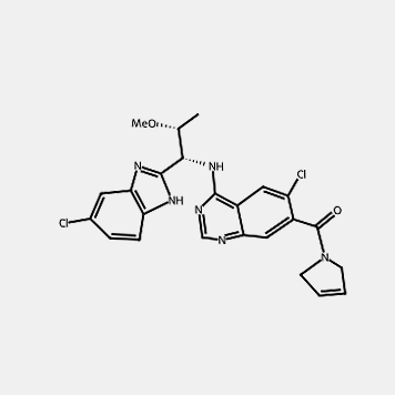 CO[C@H](C)[C@H](Nc1ncnc2cc(C(=O)N3CC=CC3)c(Cl)cc12)c1nc2cc(Cl)ccc2[nH]1